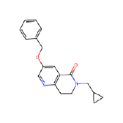 O=C1c2cc(OCc3ccccc3)cnc2CCN1CC1CC1